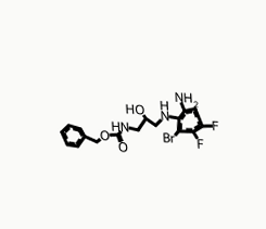 Nc1cc(F)c(F)c(Br)c1NCC(O)CNC(=O)OCc1ccccc1